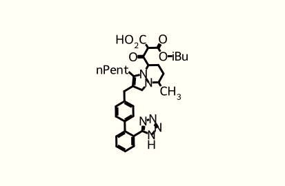 CCCCCC1=C(Cc2ccc(-c3ccccc3-c3nnn[nH]3)cc2)CN2C(C)CCC(C(=O)C(C(=O)O)C(=O)OC(C)CC)N12